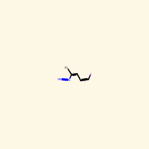 CC/C(=C/C=C\I)N=N